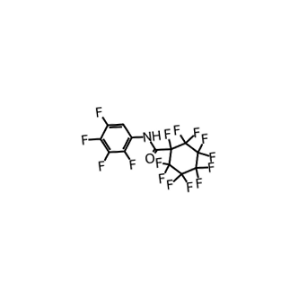 O=C(Nc1cc(F)c(F)c(F)c1F)C1(F)C(F)(F)C(F)(F)C(F)(F)C(F)(F)C1(F)F